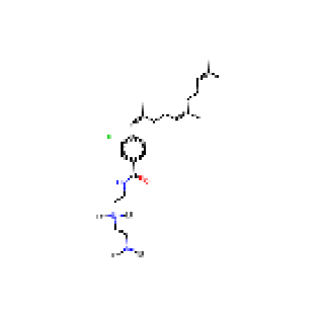 CCN(CC)CC[N+](CC)(CC)CCNC(=O)c1ccc(C=C(C)CCC=C(C)CCC=C(C)C)cc1.Cl